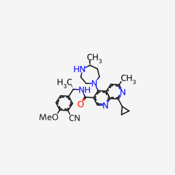 COc1ccc([C@H](C)NC(=O)c2cnc3c(C4CC4)nc(C)cc3c2N2CCN[C@@H](C)CC2)cc1C#N